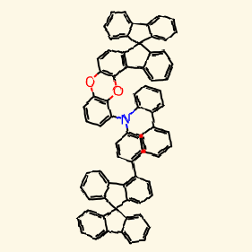 c1ccc(-c2ccccc2N(c2ccc(-c3cccc4c3-c3ccccc3C43c4ccccc4-c4ccccc43)cc2)c2cccc3c2Oc2c(ccc4c2-c2ccccc2C42c4ccccc4-c4ccccc42)O3)cc1